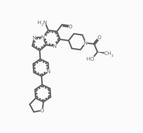 C[C@@H](O)C(=O)N1CCC(c2nc3c(-c4ccc(-c5ccc6c(c5)CCO6)nc4)cnn3c(N)c2C=O)CC1